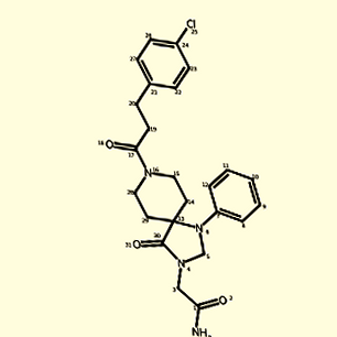 NC(=O)CN1CN(c2ccccc2)C2(CCN(C(=O)[CH]Cc3ccc(Cl)cc3)CC2)C1=O